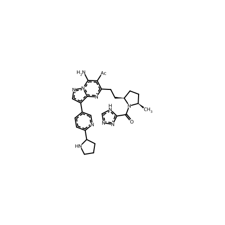 CC(=O)c1c(CC[C@H]2CC[C@@H](C)N2C(=O)c2nnc[nH]2)nc2c(-c3ccc(C4CCCN4)nc3)cnn2c1N